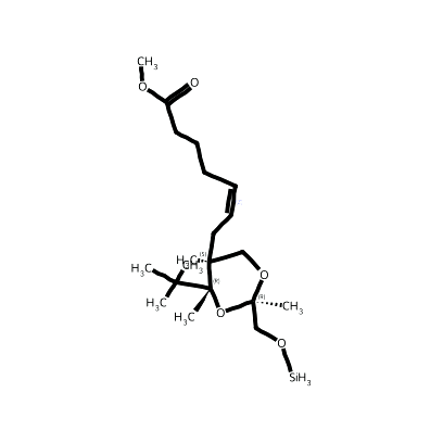 COC(=O)CCC/C=C\C[C@@]1(C)CO[C@@](C)(CO[SiH3])O[C@]1(C)C(C)(C)C